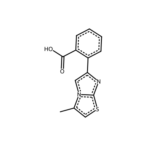 Cc1csc2nc(-c3ccccc3C(=O)O)cn12